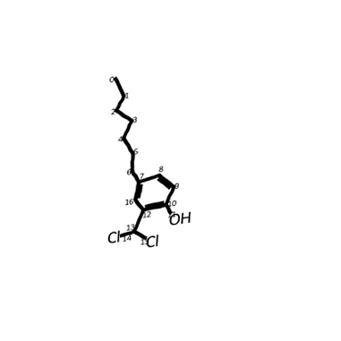 CCCCCCCc1ccc(O)c(C(Cl)Cl)c1